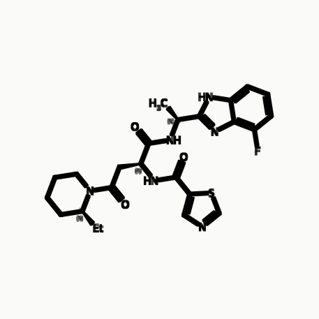 CC[C@H]1CCCCN1C(=O)C[C@H](NC(=O)c1cncs1)C(=O)N[C@@H](C)c1nc2c(F)cccc2[nH]1